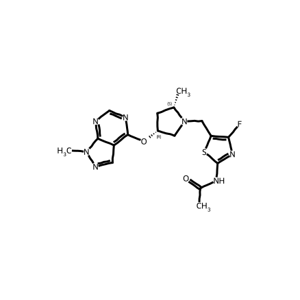 CC(=O)Nc1nc(F)c(CN2C[C@H](Oc3ncnc4c3cnn4C)C[C@@H]2C)s1